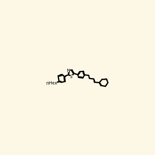 CCCCCCc1ccc(-c2ncc(-c3ccc(CCCCC4CCCCC4)cc3)s2)cc1